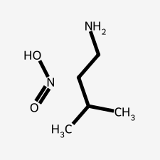 CC(C)CCN.O=NO